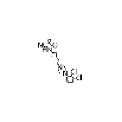 N#CC1(C(=O)NC2CC(CCN3CCN(c4cccc(Cl)c4Cl)CC3)C2)CC1